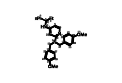 CCC[C@@H](CC)Nc1ccnc(N(Cc2ccc(OC)cc2)Cc2ccc(OC)cc2)n1